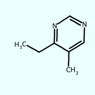 CCc1ncncc1C